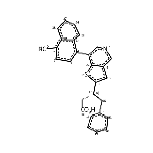 N#Cc1ccc(-c2cncc3cc([C@@H](CC(=O)O)Cc4ccccc4)sc23)c2ccccc12